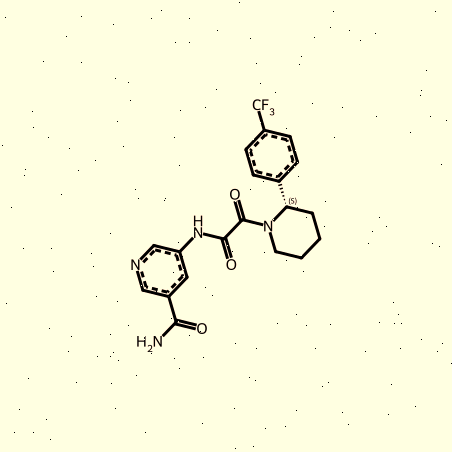 NC(=O)c1cncc(NC(=O)C(=O)N2CCCC[C@H]2c2ccc(C(F)(F)F)cc2)c1